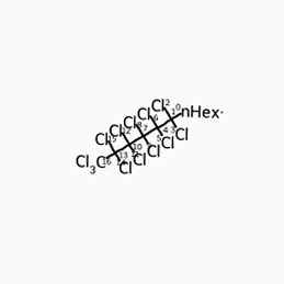 CCCCC[CH]C(Cl)(Cl)C(Cl)(Cl)C(Cl)(Cl)C(Cl)(Cl)C(Cl)(Cl)C(Cl)(Cl)Cl